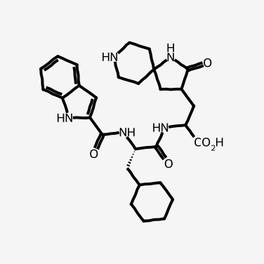 O=C(N[C@@H](CC1CCCCC1)C(=O)NC(CC1CC2(CCNCC2)NC1=O)C(=O)O)c1cc2ccccc2[nH]1